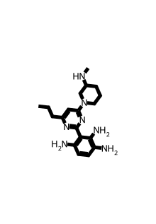 CCCc1cc(N2CCCC(NC)C2)nc(-c2c(N)ccc(N)c2N)n1